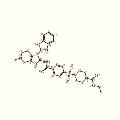 CCOC(=O)N1CCN(S(=O)(=O)c2ccc(C(=O)NC3OC4=C(CCN(C)C4)C3c3nc4ccccc4o3)cc2)CC1